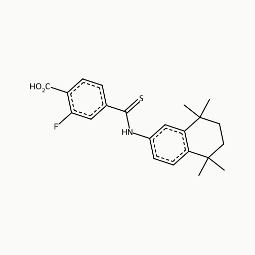 CC1(C)CCC(C)(C)c2cc(NC(=S)c3ccc(C(=O)O)c(F)c3)ccc21